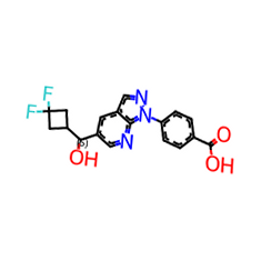 O=C(O)c1ccc(-n2ncc3cc([C@@H](O)C4CC(F)(F)C4)cnc32)cc1